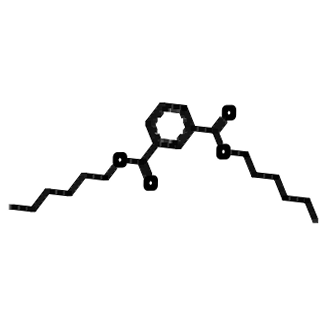 CCCCCCOC(=O)c1cccc(C(=O)OCCCCCC)c1